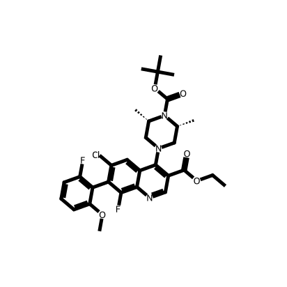 CCOC(=O)c1cnc2c(F)c(-c3c(F)cccc3OC)c(Cl)cc2c1N1C[C@@H](C)N(C(=O)OC(C)(C)C)[C@@H](C)C1